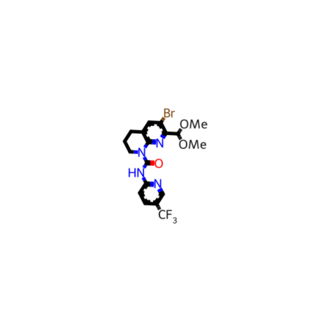 COC(OC)c1nc2c(cc1Br)CCCN2C(=O)Nc1ccc(C(F)(F)F)cn1